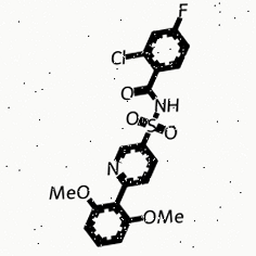 COc1cccc(OC)c1-c1ccc(S(=O)(=O)NC(=O)c2ccc(F)cc2Cl)cn1